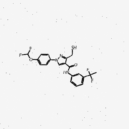 CC(F)(F)c1cccc(NC(=O)c2cn(-c3ccc(OC(F)F)cc3)nc2CS)c1